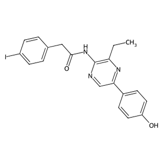 CCc1nc(-c2ccc(O)cc2)cnc1NC(=O)Cc1ccc(I)cc1